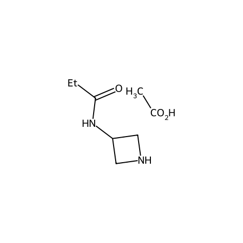 CC(=O)O.CCC(=O)NC1CNC1